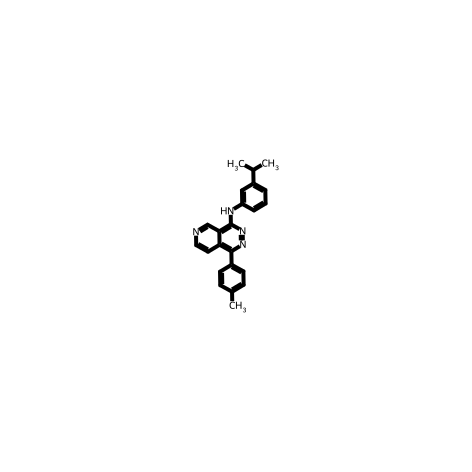 Cc1ccc(-c2nnc(Nc3cccc(C(C)C)c3)c3cnccc23)cc1